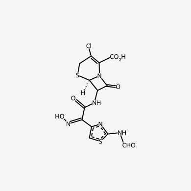 O=CNc1nc(/C(=N/O)C(=O)NC2C(=O)N3C(C(=O)O)=C(Cl)CS[C@H]23)cs1